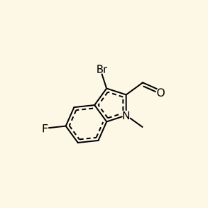 Cn1c(C=O)c(Br)c2cc(F)ccc21